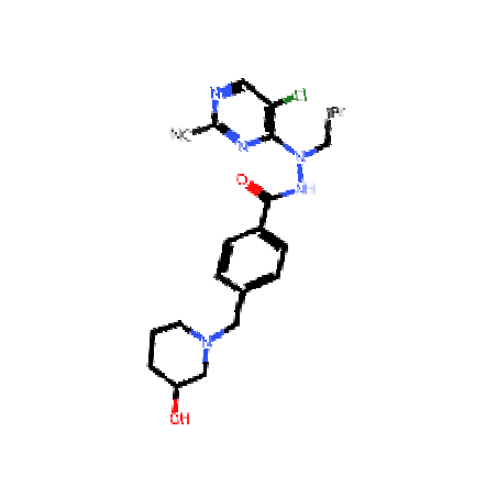 CC(C)CN(NC(=O)c1ccc(CN2CCCC(O)C2)cc1)c1nc(C#N)ncc1Cl